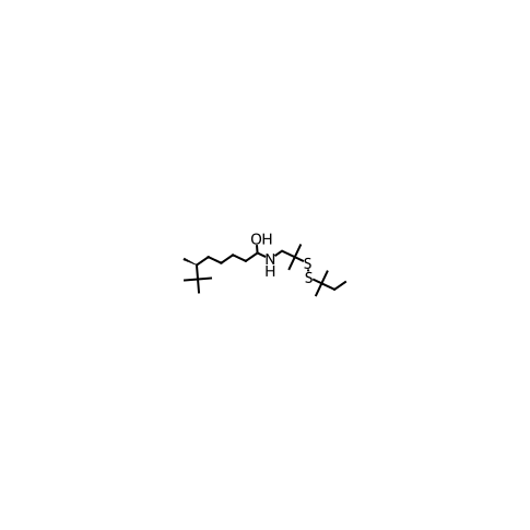 CCC(C)(C)SSC(C)(C)CNC(O)CCCC[C@H](C)C(C)(C)C